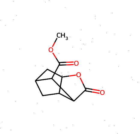 COC(=O)C1C2C[C]3OC(=O)C1C3C2